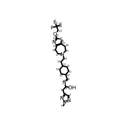 Cn1ncc(CC(O)/N=C/C2CCC(CCN3CCc4nc(OCC(F)(F)F)sc4CC3)CC2)n1